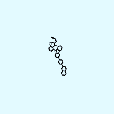 C#C/C=C\C1=C(C)c2c(cccc2-n2c3c(c4cc(-c5ccc(-c6ccc7ccccc7c6)cc5)ccc42)C=CCC3)OC1